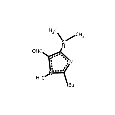 Cn1c(C(C)(C)C)nc([SiH](C)C)c1C=O